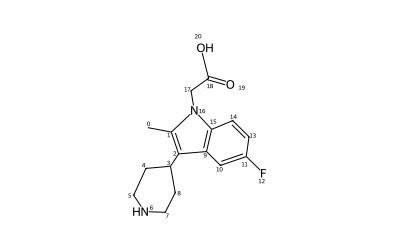 Cc1c(C2CCNCC2)c2cc(F)ccc2n1CC(=O)O